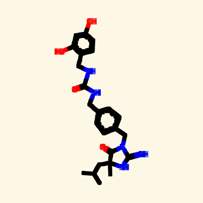 CC(C)CC1(C)NC(=N)N(Cc2ccc(CNC(=O)NCc3ccc(O)cc3O)cc2)C1=O